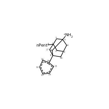 CCCCCC12CC3CC(N)(C1)CC(c1ccccc1)(C3)C2